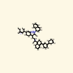 CC/C(C)=C\C(CC)C1C=CC(C(C/C=C(\C)C2=C3CCC=CC3=C(c3cccc(C4CC=CCC4)c3)CC2)C(C)NC2C=CC=C3C=CCCC32)CC1